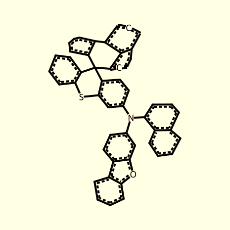 c1ccc2c(c1)Sc1cc(N(c3ccc4c(c3)oc3ccccc34)c3cccc4ccccc34)ccc1C21c2ccccc2-c2cccc3cccc1c23